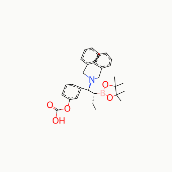 CC[C@@H](B1OC(C)(C)C(C)(C)O1)[C@@H](c1cccc(OC(=O)O)c1)N(Cc1ccccc1)Cc1ccccc1